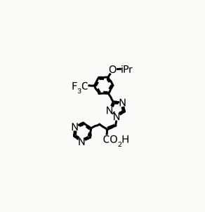 CC(C)Oc1cc(-c2ncn(C=C(Cc3cncnc3)C(=O)O)n2)cc(C(F)(F)F)c1